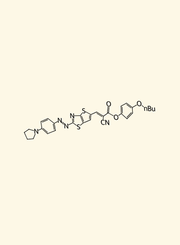 CCCCOc1ccc(OC(=O)/C(C#N)=C/c2cc3sc(/N=N/c4ccc(N5CCCC5)cc4)nc3s2)cc1